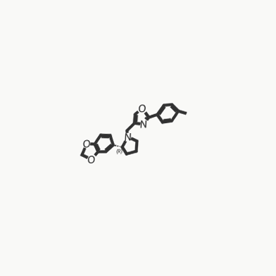 Cc1ccc(-c2nc(CN3CCC[C@@H]3c3ccc4c(c3)OCO4)co2)cc1